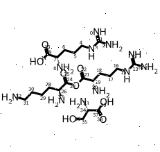 N=C(N)NCCC[C@H](N)C(=O)O.N=C(N)NCCC[C@H](N)C(=O)OC(=O)[C@@H](N)CCCCN.N[C@@H](CO)C(=O)O